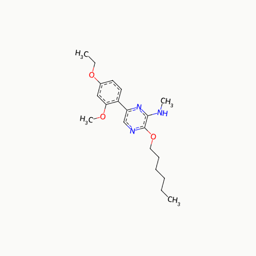 CCCCCCOc1ncc(-c2ccc(OCC)cc2OC)nc1NC